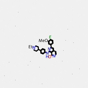 CCN1CCC(c2ccc(Nc3nc(-c4ccc(F)c(OC)c4)cc4c3C(=O)[N]C=C4)cc2)CC1